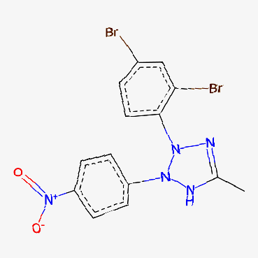 CC1=NN(c2ccc(Br)cc2Br)N(c2ccc([N+](=O)[O-])cc2)N1